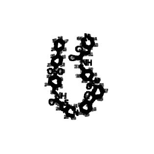 O=C(NCc1ccc(S(=O)(=O)c2ccc(-c3ccccc3)cc2)cc1)c1cc2ccncc2s1.O=C(NCc1ccc(S(=O)(=O)c2cccc3c2oc2ccccc23)cc1)c1cc2ccncc2o1